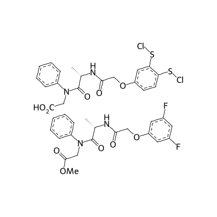 COC(=O)CN(C(=O)[C@H](C)NC(=O)COc1cc(F)cc(F)c1)c1ccccc1.C[C@H](NC(=O)COc1ccc(SCl)c(SCl)c1)C(=O)N(CC(=O)O)c1ccccc1